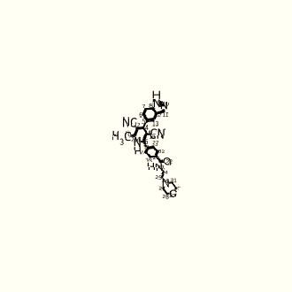 CC1=C(C#N)C(c2ccc3[nH]ncc3c2)C(C#N)=C(c2ccc(C(=O)NCCN3CCOCC3)cc2)N1